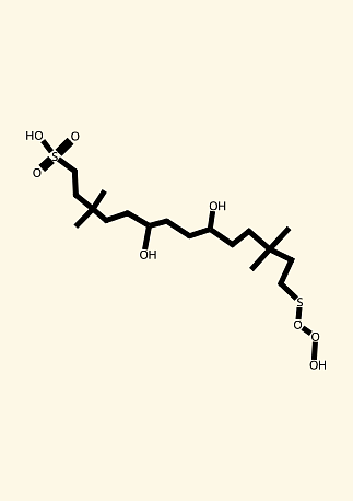 CC(C)(CCSOOO)CCC(O)CCC(O)CCC(C)(C)CCS(=O)(=O)O